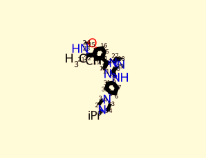 CC(C)N1CCN(c2ccc(Nc3ncc(-c4ccc5c(c4)C(C)(C)NCO5)n4ccnc34)cc2)CC1